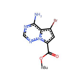 CCCCOC(=O)c1cc(Br)c2c(N)ncnn12